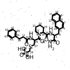 NC(=O)C(Cc1ccc2ccccc2c1)NC(=O)C1CCCCN1C(=O)C(CSCP(=O)(O)O)NC(=O)CCc1ccccc1